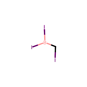 ICB(I)I